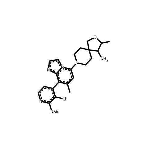 CNc1nccc(-c2c(C)cc(N3CCC4(CC3)COC(C)C4N)n3ccnc23)c1Cl